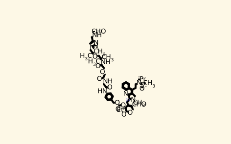 CC[C@@]1(OC(=O)OCc2ccc(NC(=O)CNC(=O)COCC(=O)NC(C)(C)COC(C)(C)Cn3cc(CNC=O)nn3)cc2)C(=O)OCC(C=O)=C1/C=C1/c2nc3ccccc3c(CCN(C(C)C)[S+](C)[O-])c2CN1C